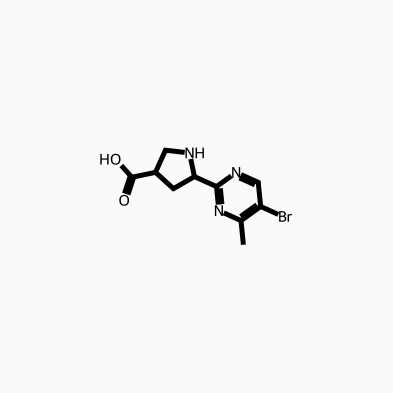 Cc1nc(C2CC(C(=O)O)CN2)ncc1Br